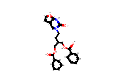 O=C(OCC(CCn1cc2ccoc2nc1=O)COC(=O)c1ccccc1)c1ccccc1